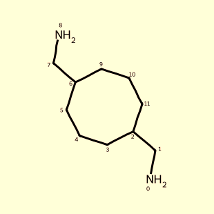 NCC1CCCC(CN)CCC1